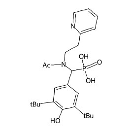 CC(=O)N(CCc1ccccn1)C(c1cc(C(C)(C)C)c(O)c(C(C)(C)C)c1)P(=O)(O)O